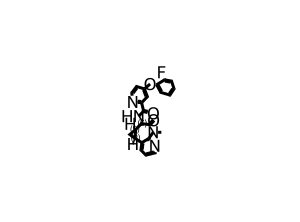 CN1C(=O)[C@@H](NC(=O)c2cc(Oc3ccccc3F)ccn2)[C@H]2C[C@H]2c2cccnc21